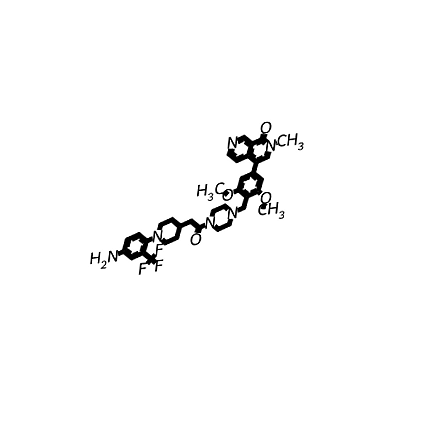 COc1cc(-c2cn(C)c(=O)c3cnccc23)cc(OC)c1CN1CCN(C(=O)CC2CCN(c3ccc(N)cc3C(F)(F)F)CC2)CC1